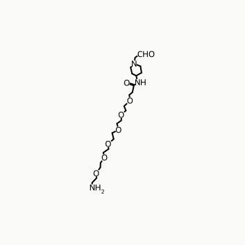 NCCOCCOCCOCCOCCOCCOCCC(=O)NC1CCN(CC=O)CC1